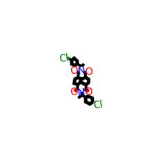 CC(c1ccc(Cl)cc1)N1C(=O)c2ccc3c4c(ccc(c24)C1=O)C(=O)N(C(C)c1ccc(Cl)cc1)C3=O